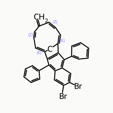 C=C1/C=C\C=C2/C/C(=C\C=C/1)c1c2c(-c2ccccc2)c2cc(Br)c(Br)cc2c1-c1ccccc1